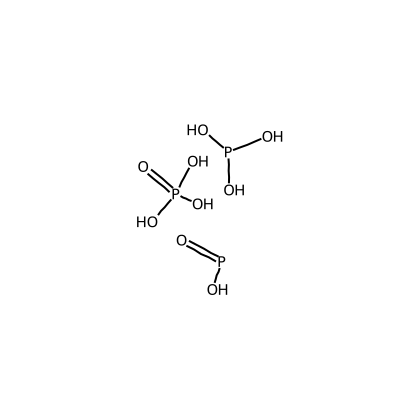 O=P(O)(O)O.O=PO.OP(O)O